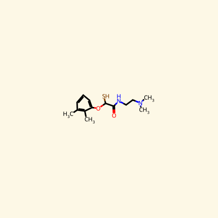 Cc1cccc(OC(S)C(=O)NCCN(C)C)c1C